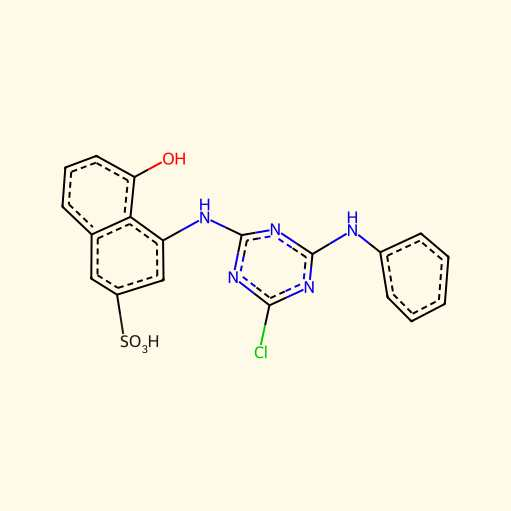 O=S(=O)(O)c1cc(Nc2nc(Cl)nc(Nc3ccccc3)n2)c2c(O)cccc2c1